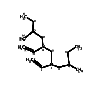 C=CN(CC(C)CC)CN(C=C)CC(O)CC